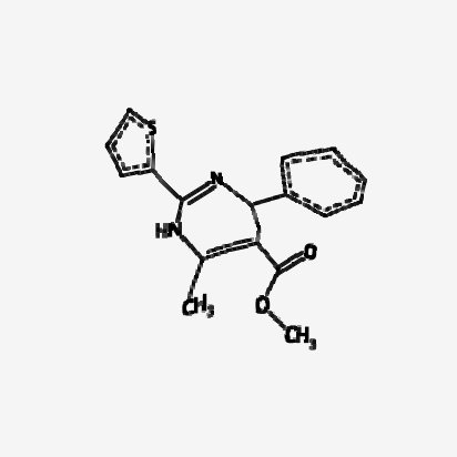 COC(=O)C1=C(C)NC(c2cccs2)=NC1c1ccccc1